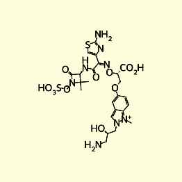 C[n+]1c2ccc(OC[C@H](O/N=C(\C(=O)N[C@@H]3C(=O)N(OS(=O)(=O)O)C3(C)C)c3csc(N)n3)C(=O)O)cc2cn1C[C@H](O)CN